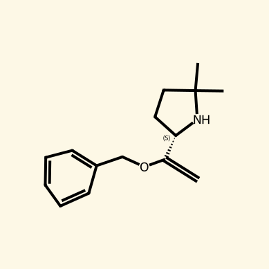 C=C(OCc1ccccc1)[C@@H]1CCC(C)(C)N1